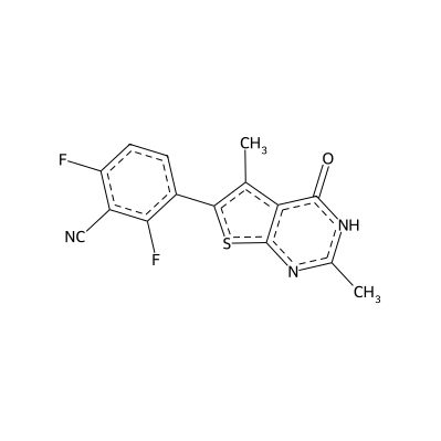 Cc1nc2sc(-c3ccc(F)c(C#N)c3F)c(C)c2c(=O)[nH]1